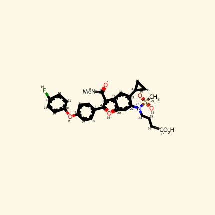 CNC(=O)c1c(-c2ccc(Oc3ccc(F)cc3)cc2)oc2cc(N(CCCC(=O)O)S(C)(=O)=O)c(C3CC3)cc12